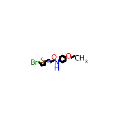 CCCOc1ccc(NC(=O)/C=C/c2ccc(Br)s2)cc1